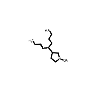 CCCCC(CCCC)C1CCN(C)C1